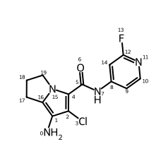 Nc1c(Cl)c(C(=O)Nc2ccnc(F)c2)n2c1CCC2